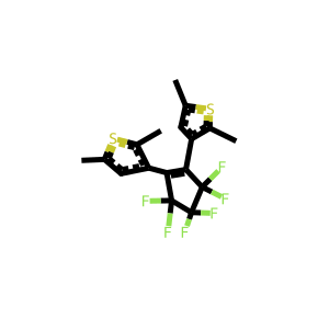 Cc1cc(C2=C(c3cc(C)sc3C)C(F)(F)C(F)(F)C2(F)F)c(C)s1